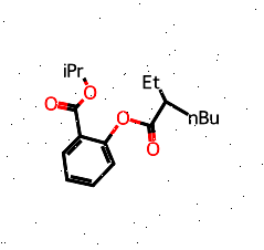 CCCCC(CC)C(=O)Oc1ccccc1C(=O)OC(C)C